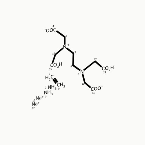 C=C.N.N.O=C([O-])CN(CCN(CC(=O)[O-])CC(=O)O)CC(=O)O.[Na+].[Na+]